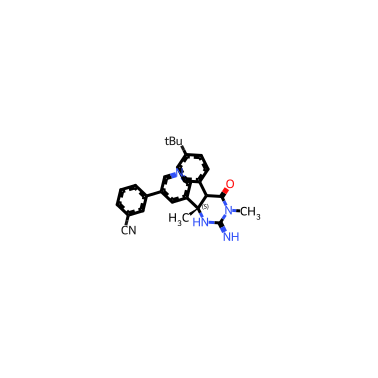 CN1C(=N)N[C@](C)(c2cncc(-c3cccc(C#N)c3)c2)C(c2ccc(C(C)(C)C)cc2)C1=O